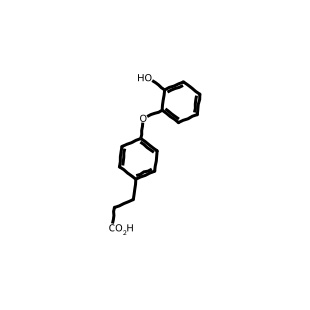 O=C(O)CCc1ccc(Oc2ccccc2O)cc1